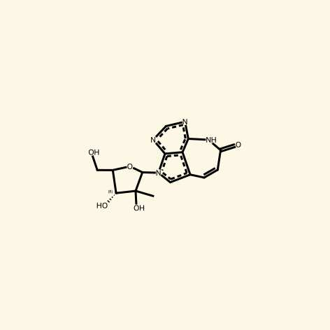 CC1(O)C(n2cc3c4c(ncnc42)NC(=O)C=C3)OC(CO)[C@H]1O